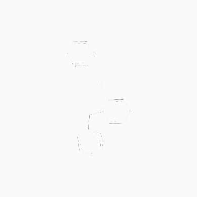 C(#Cc1cccc2c1Cc1ccccc1-2)c1ccccn1